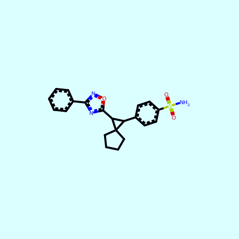 NS(=O)(=O)c1ccc(C2C(c3nc(-c4ccccc4)no3)C23CCCC3)cc1